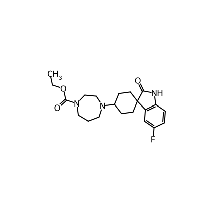 CCOC(=O)N1CCCN(C2CCC3(CC2)C(=O)Nc2ccc(F)cc23)CC1